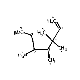 C=CC(C)(C)[C@@H](C)C(N)COC